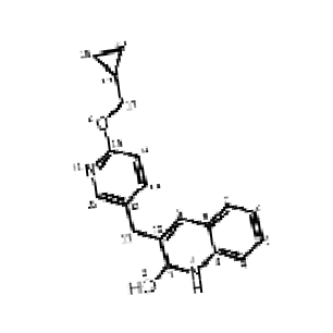 OC1Nc2ccccc2C=C1Cc1ccc(OCC2CC2)nc1